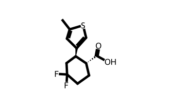 Cc1cc([C@@H]2CC(F)(F)CC[C@H]2C(=O)O)cs1